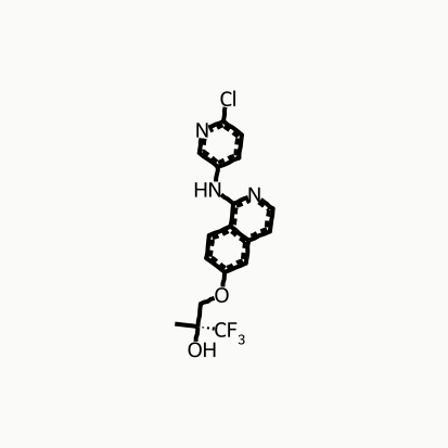 C[C@](O)(COc1ccc2c(Nc3ccc(Cl)nc3)nccc2c1)C(F)(F)F